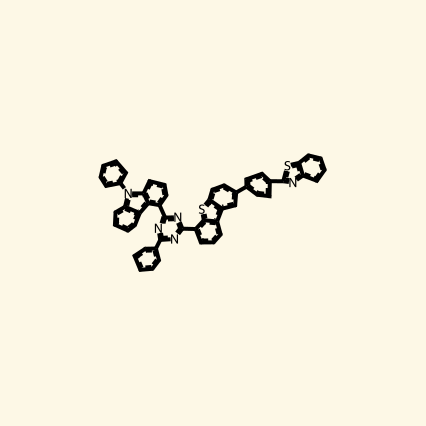 c1ccc(-c2nc(-c3cccc4c3sc3ccc(-c5ccc(-c6nc7ccccc7s6)cc5)cc34)nc(-c3cccc4c3c3ccccc3n4-c3ccccc3)n2)cc1